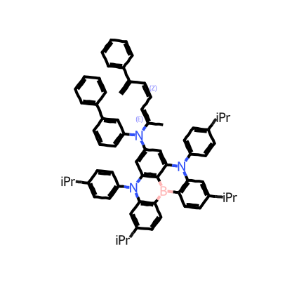 C=C(/C=C\C=C(/C)N(c1cccc(-c2ccccc2)c1)c1cc2c3c(c1)N(c1ccc(C(C)C)cc1)c1cc(C(C)C)ccc1B3c1ccc(C(C)C)cc1N2c1ccc(C(C)C)cc1)c1ccccc1